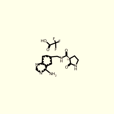 Nc1ncnc2ccc(CNC(=O)[C@H]3CCNC3=O)cc12.O=C(O)C(F)(F)F